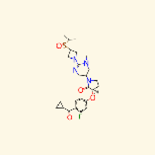 CC(C)[S+]([O-])C1CN(C2=NCC(N3CC[C@@H](Oc4ccc(C(=O)C5CC5)c(F)c4)C3=O)CN2C)C1